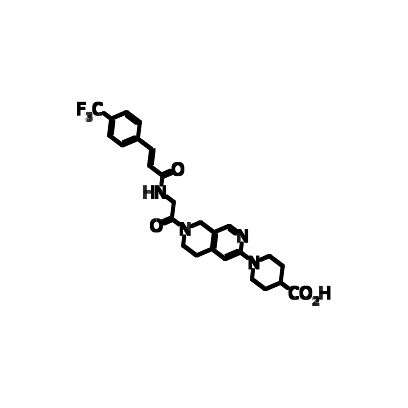 O=C(/C=C/c1ccc(C(F)(F)F)cc1)NCC(=O)N1CCc2cc(N3CCC(C(=O)O)CC3)ncc2C1